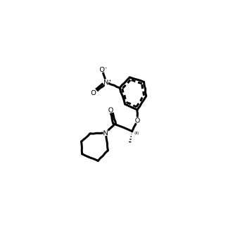 C[C@@H](Oc1cccc([N+](=O)[O-])c1)C(=O)N1CCCCC1